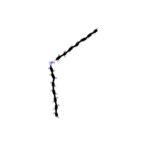 C#CC#CC#CC#CC#CC#CC#C/B=N/C#CC#CC#CC#CC#CC#CC#C